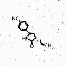 C=CC[C@H]1C[C@H](c2ccc(C#N)cc2)NC1=O